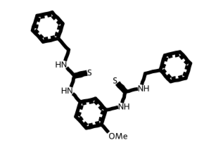 COc1ccc(NC(=S)NCc2ccccc2)cc1NC(=S)NCc1ccccc1